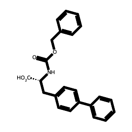 O=C(N[C@H](Cc1ccc(-c2ccccc2)cc1)C(=O)O)OCc1ccccc1